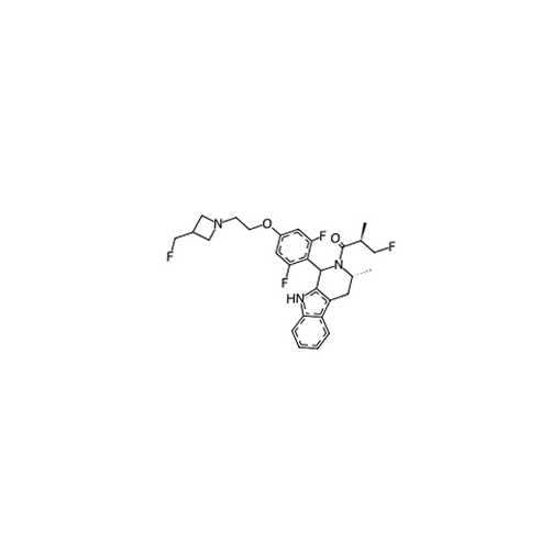 C[C@@H]1Cc2c([nH]c3ccccc23)C(c2c(F)cc(OCCN3CC(CF)C3)cc2F)N1C(=O)[C@@H](C)CF